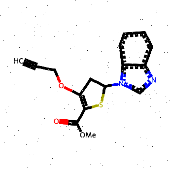 C#CCOC1=C(C(=O)OC)SC(n2cnc3ccccc32)C1